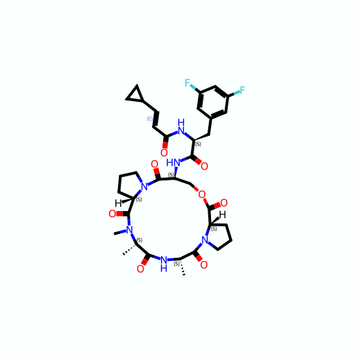 C[C@@H]1NC(=O)[C@H](C)N(C)C(=O)[C@@H]2CCCN2C(=O)[C@@H](NC(=O)[C@H](Cc2cc(F)cc(F)c2)NC(=O)/C=C/C2CC2)COC(=O)[C@@H]2CCCN2C1=O